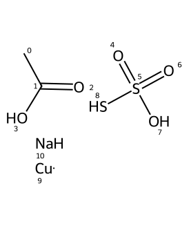 CC(=O)O.O=S(=O)(O)S.[Cu].[NaH]